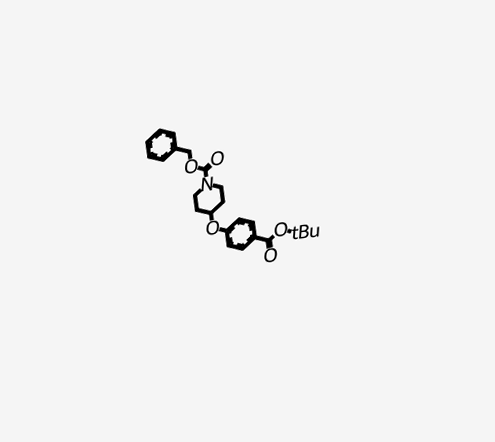 CC(C)(C)OC(=O)c1ccc(OC2CCN(C(=O)OCc3ccccc3)CC2)cc1